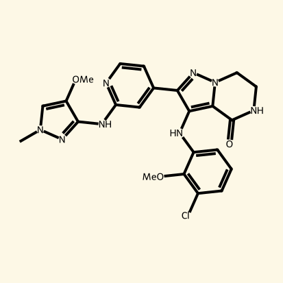 COc1cn(C)nc1Nc1cc(-c2nn3c(c2Nc2cccc(Cl)c2OC)C(=O)NCC3)ccn1